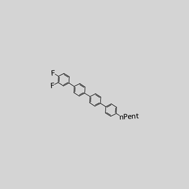 CCCCCc1ccc(-c2ccc(-c3ccc(-c4ccc(F)c(F)c4)cc3)cc2)cc1